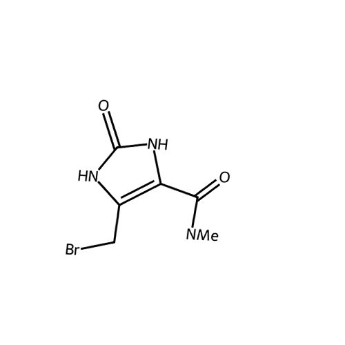 CNC(=O)c1[nH]c(=O)[nH]c1CBr